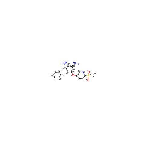 CCS(=O)(=O)c1ccc(Oc2cc(N)c(N)c(Cc3ccccc3)c2)cn1